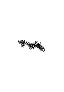 O=C(N[C@H]1CC2(C1)C[C@H](c1n[nH]c(=O)c3ccccc31)C2)c1ccc(-c2cnn(C3CCOCC3)c2)c(F)c1